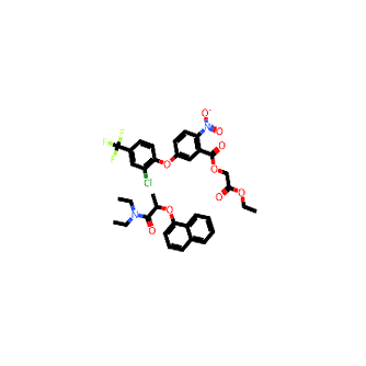 CCN(CC)C(=O)C(C)Oc1cccc2ccccc12.CCOC(=O)COC(=O)c1cc(Oc2ccc(C(F)(F)F)cc2Cl)ccc1[N+](=O)[O-]